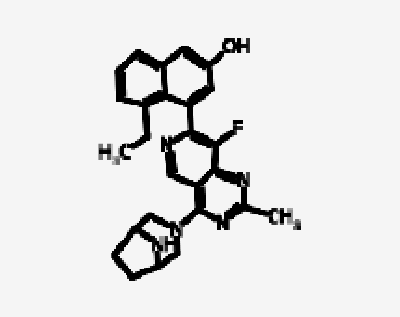 CCc1cccc2cc(O)cc(-c3ncc4c(N5CC6CCC(C5)N6)nc(C)nc4c3F)c12